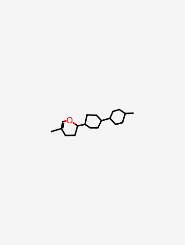 CC1=COC(C2CCC(C3CCC(C)CC3)CC2)CC1